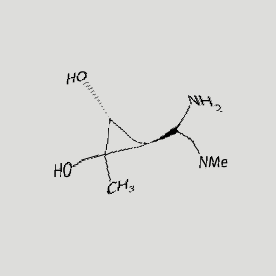 CNC(N)[C@@H]1[C@@H](O)C1(C)O